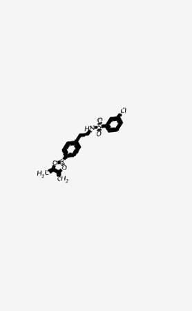 C=C1OB(c2ccc(CCNS(=O)(=O)c3cccc(Cl)c3)cc2)OC1=C